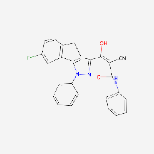 N#CC(C(=O)Nc1ccccc1)=C(O)c1nn(-c2ccccc2)c2c1Cc1ccc(F)cc1-2